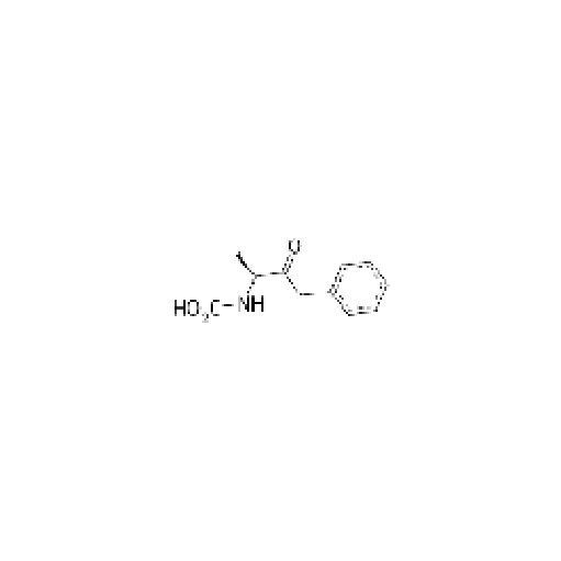 C[C@H](NC(=O)O)C(=O)Cc1ccccc1